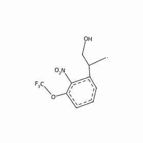 [CH2]C(CO)c1cccc(OC(F)(F)F)c1[N+](=O)[O-]